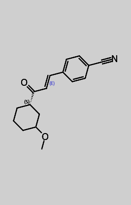 COC1CCC[C@H](C(=O)/C=C/c2ccc(C#N)cc2)C1